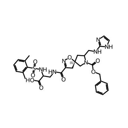 Cc1cccc(C)c1S(=O)(=O)NC(CNC(=O)C1=NO[C@]2(C1)CC(CNc1ncc[nH]1)N(C(=O)OCc1ccccc1)C2)C(=O)O